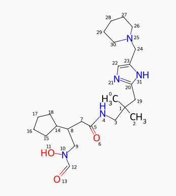 CC(C)(CNC(=O)CC(CN(O)C=O)C1CCCC1)Cc1ncc(CN2CCCCC2)[nH]1